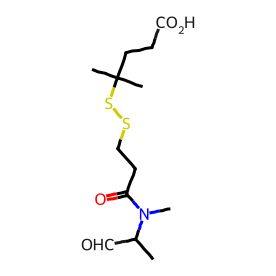 CC(C=O)N(C)C(=O)CCSSC(C)(C)CCC(=O)O